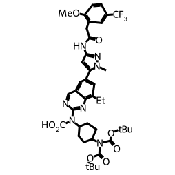 CCc1cc(-c2cc(NC(=O)Cc3cc(C(F)(F)F)ccc3OC)nn2C)cc2cnc(N(C(=O)O)C3CCC(N(C(=O)OC(C)(C)C)C(=O)OC(C)(C)C)CC3)nc12